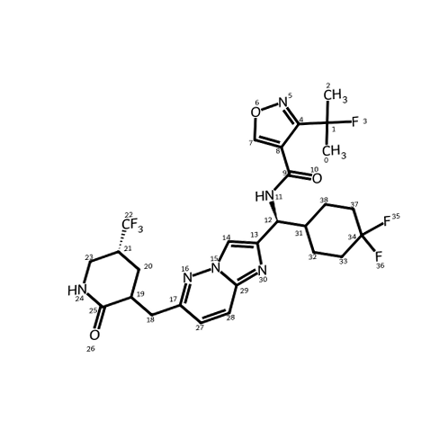 CC(C)(F)c1nocc1C(=O)N[C@H](c1cn2nc(CC3C[C@@H](C(F)(F)F)CNC3=O)ccc2n1)C1CCC(F)(F)CC1